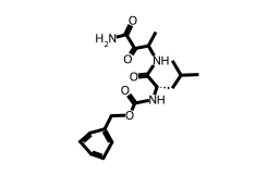 CC(C)C[C@H](NC(=O)OCc1ccccc1)C(=O)NC(C)C(=O)C(N)=O